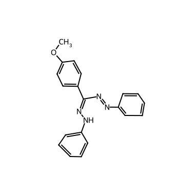 COc1ccc(C(N=Nc2ccccc2)=NNc2ccccc2)cc1